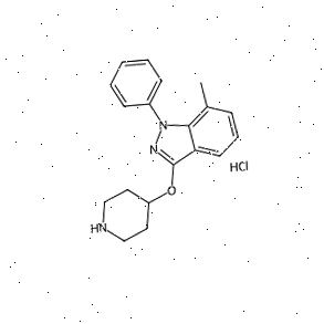 Cc1cccc2c(OC3CCNCC3)nn(-c3ccccc3)c12.Cl